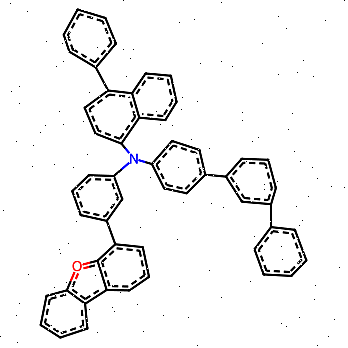 c1ccc(-c2cccc(-c3ccc(N(c4cccc(-c5cccc6c5oc5ccccc56)c4)c4ccc(-c5ccccc5)c5ccccc45)cc3)c2)cc1